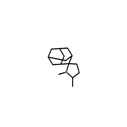 CC1CCC2(C3CC4CC(C3)CC2C4)N1C